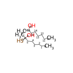 CCCCCCC(C)(O)S.CCCCCCC(C)O